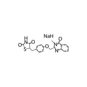 Cn1c(COc2ccc(CC3SC(=O)NC3=O)cc2)nc2ccccc2c1=O.[NaH]